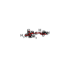 COC(=O)C[C@@H]1N=C(c2ccc(Cl)cc2)c2c(sc(C(=O)NCCCCCCCCNc3ccc4c(c3)C(=O)N(C3CCC(=O)NC3=O)C4=O)c2C)-n2c(C)nnc21